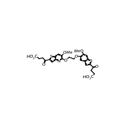 COc1cc2sc(C(=O)CCC(=O)O)cc2cc1OCCOc1nc2cc(C(=O)CCC(=O)O)sc2cc1OC